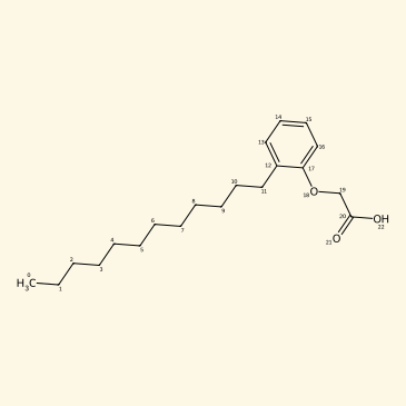 CCCCCCCCCCCCc1ccccc1OCC(=O)O